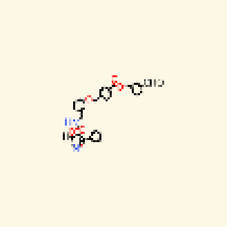 O=Cc1cccc(COC(=O)c2ccc(COc3cccc(CNC(=O)O[C@H]4CN5CCC4C(c4ccccc4)C5)c3)cc2)c1